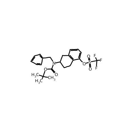 CC(C)(C)OC(=O)N(Cc1ccccc1)C1CCc2c(cccc2OS(=O)(=O)C(F)(F)F)C1